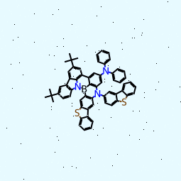 CC(C)(C)c1ccc2c(c1)c1cc(C(C)(C)C)cc3c1n2B1c2cc4sc5ccccc5c4cc2N(c2ccc4sc5ccccc5c4c2)c2cc(N(c4ccccc4)c4ccccc4)cc-3c21